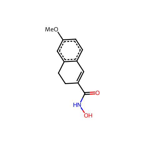 COc1ccc2c(c1)CCC(C(=O)NO)=C2